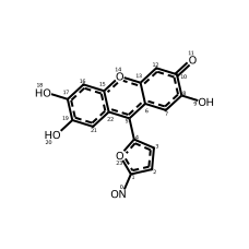 O=Nc1ccc(-c2c3cc(O)c(=O)cc-3oc3cc(O)c(O)cc23)o1